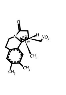 Cc1cc2c(cc1C)C13C[C@H](C)[C@@H](C[N+](=O)[O-])[C@@H]1CC(=O)N3CC2